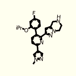 CC(C)Oc1cc(F)ccc1-c1ccc(-c2cnn(C)c2)nc1-c1cc2n(n1)CCNC2